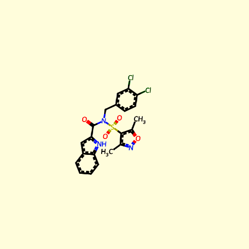 Cc1noc(C)c1S(=O)(=O)N(Cc1ccc(Cl)c(Cl)c1)C(=O)c1cc2ccccc2[nH]1